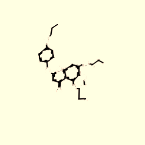 CCCOc1ccc(Oc2cc(=O)c3c(OCCC)c(OC)c(OCCC)cc3o2)cc1